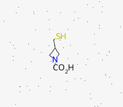 O=C(O)N1CC(CS)C1